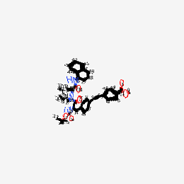 COC(=O)c1ccc(C#Cc2ccc(CC(NC(=O)OC(C)(C)C)C(=O)N3C[Si](C)(C)C[C@H]3C(=O)NC3CCCc4ccccc43)cc2)cc1